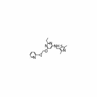 CCc1nc(NCc2sc(C)nc2C)cc(OCC2CC2c2ccccn2)n1